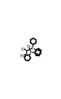 ClC([CH2][Pd])C(Cl)(P(c1ccccc1)c1ccccc1)P(c1ccccc1)c1ccccc1